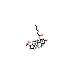 CCCCCC(=O)OC1CC(=O)C=C2CC[C@H]3[C@@H]4CC[C@@H](C(C)=O)[C@@]4(C)CC[C@@H]3[C@]21C